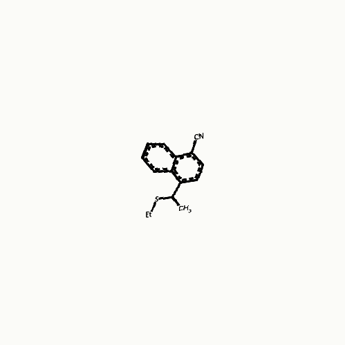 CCSC(C)c1ccc(C#N)c2ccccc12